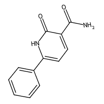 NC(=O)c1ccc(-c2ccccc2)[nH]c1=O